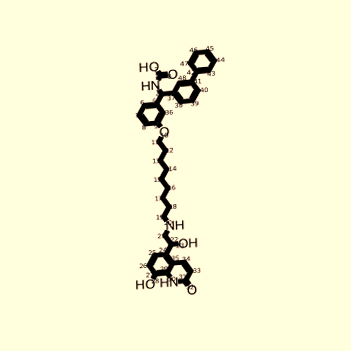 O=C(O)NC(c1cccc(OCCCCCCCCCNCC(O)c2ccc(O)c3[nH]c(=O)ccc23)c1)c1cccc(-c2ccccc2)c1